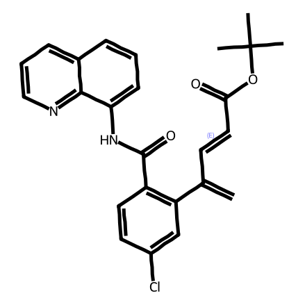 C=C(/C=C/C(=O)OC(C)(C)C)c1cc(Cl)ccc1C(=O)Nc1cccc2cccnc12